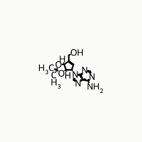 CC1(C)O[C@@H]2[C@H](O1)C(CO)=C[C@H]2n1cnc2c(N)ncnc21